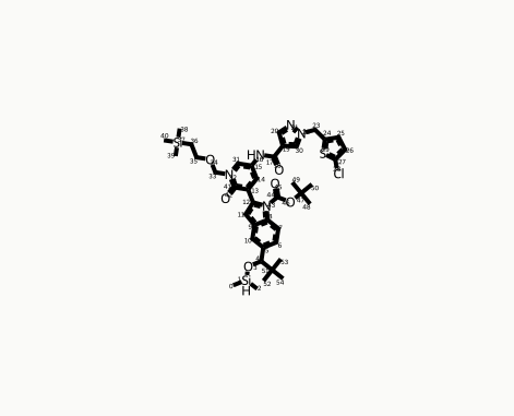 C[SiH](C)OC(c1ccc2c(c1)cc(-c1cc(NC(=O)c3cnn(Cc4ccc(Cl)s4)c3)cn(COCC[Si](C)(C)C)c1=O)n2C(=O)OC(C)(C)C)C(C)(C)C